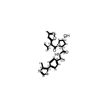 Cc1cc([C@@H](C(=O)N2C[C@H](O)C[C@H]2C(=O)N[C@@H](C)c2ccc(-c3scnc3C)cc2)C(C)C)on1